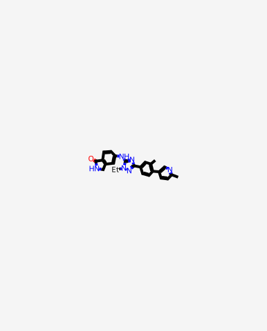 CCn1nc(-c2ccc(-c3ccc(C)nc3)c(C)c2)nc1Nc1ccc2c(c1)CNC2=O